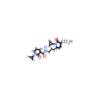 O=C(NCCCc1ccc(C(=O)O)c(=O)n1C1CC1)c1cccn(C2CC2)c1=O